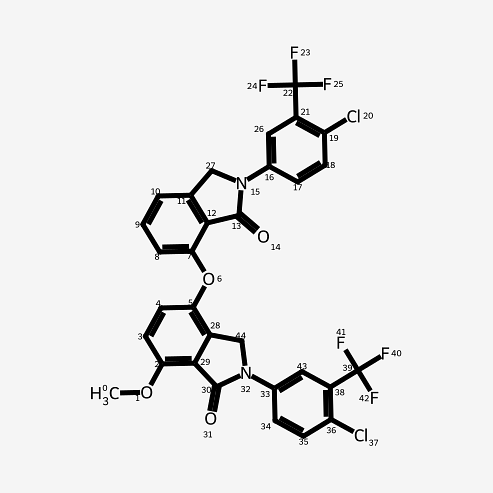 COc1ccc(Oc2cccc3c2C(=O)N(c2ccc(Cl)c(C(F)(F)F)c2)C3)c2c1C(=O)N(c1ccc(Cl)c(C(F)(F)F)c1)C2